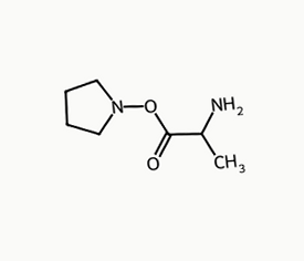 CC(N)C(=O)ON1CCCC1